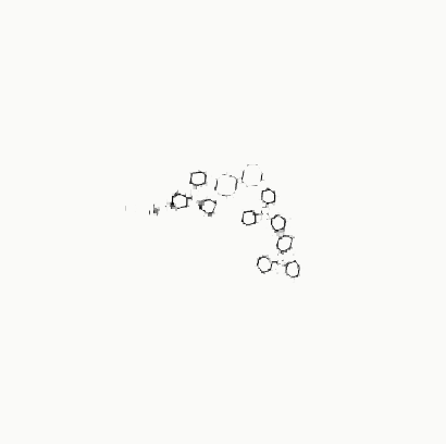 C1=C\CC/C=C\CC/1.C1=C\CC/C=C\CC/1.O=[CH][Ir-].[Ir].c1ccc(P(c2ccccc2)c2ccccc2)cc1.c1ccc(P(c2ccccc2)c2ccccc2)cc1.c1ccc(P(c2ccccc2)c2ccccc2)cc1